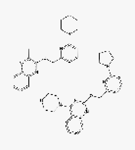 Cc1nc2ccccc2nc1OCc1cccc(N2CCCCC2)n1.c1cc(COc2nc(N3CCOCC3)c3ccccc3n2)nc(N2CCCC2)c1